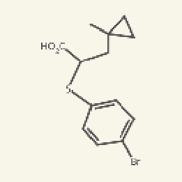 CC1(CC(Sc2ccc(Br)cc2)C(=O)O)CC1